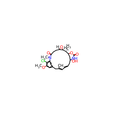 COc1cc2cc(c1Cl)N(C)C(=O)CC[C@@H]1O[C@H]1[C@H](C)C1C[C@](O)(C/C=C/C=C(\C)C2)NC(=O)O1